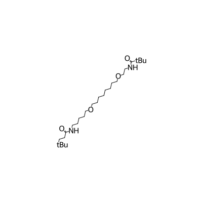 CC(C)(C)CCC(=O)NCCCCCOCCCCCCCCOCCNC(=O)C(C)(C)C